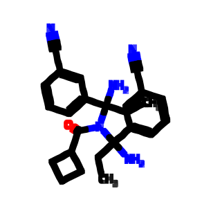 CCC(N)(c1cccc(C#N)c1)N(C(=O)C1CCC1)C(N)(CC)c1cccc(C#N)c1